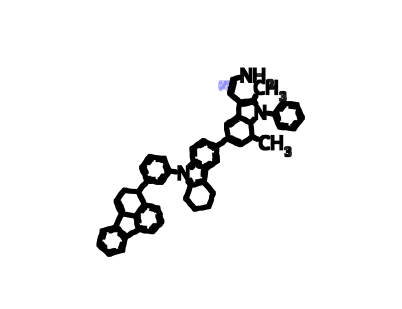 CC1=C(/C=C\N)C2=CC(c3ccc4c(c3)c3c(n4-c4cccc(C5CC=C6c7ccccc7-c7cccc5c76)c4)CCCC3)=CC(C)C2N1c1ccccc1